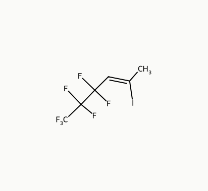 CC(I)=CC(F)(F)C(F)(F)C(F)(F)F